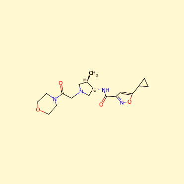 C[C@@H]1CN(CC(=O)N2CCOCC2)C[C@H]1NC(=O)c1cc(C2CC2)on1